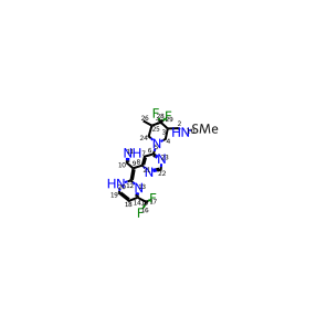 CSNCC1CN(c2cc(/C(C=N)=C3\N=C(C(F)F)C=CN3)ncn2)CC(C)C1(F)F